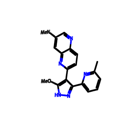 CNc1cnc2ccc(-c3c(-c4cccc(C)n4)n[nH]c3OC)nc2c1